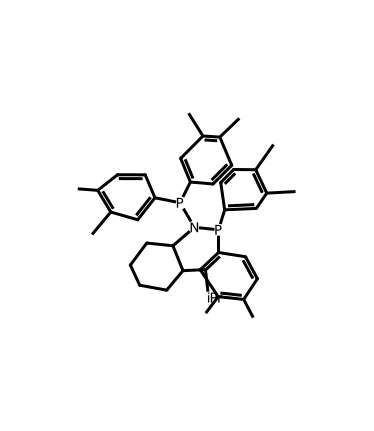 Cc1ccc(P(c2ccc(C)c(C)c2)N(C2CCCCC2CC(C)C)P(c2ccc(C)c(C)c2)c2ccc(C)c(C)c2)cc1C